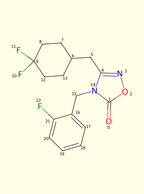 O=c1onc(CC2CCC(F)(F)CC2)n1Cc1ccccc1F